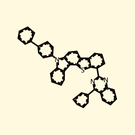 c1ccc(-c2ccc(-n3c4ccccc4c4c5sc6c(-c7nc(-c8ccccc8)c8ccccc8n7)cccc6c5ccc43)cc2)cc1